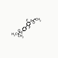 C=CC(=O)Sc1cc(F)c(-c2ccc(SC(=O)C(=C)C)cc2)cc1F